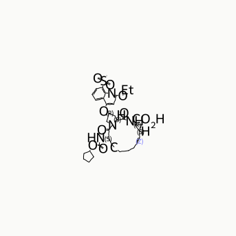 CCOc1cc(O[C@@H]2C[C@H]3C(=O)N[C@]4(C(=O)O)C[C@H]4/C=C\CCCCC[C@H](NC(=O)OC4CCCC4)C(=O)N3C2)c2cccc(S(C)(=O)=O)c2n1